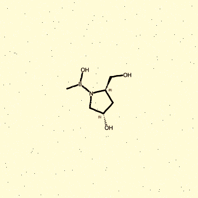 CB(O)N1C[C@@H](O)C[C@@H]1CO